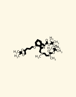 CN(CCN(C)C(=O)OC(C)(C)C)Cc1nn(C(=O)OC(C)(C)C)c2cccc(OCCCC3COC(C)(C)O3)c12